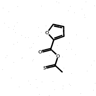 CC(=S)OC(=O)c1ccco1